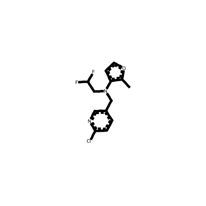 Cc1occc1N(Cc1ccc(Cl)nc1)CC(F)F